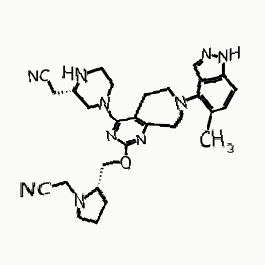 Cc1ccc2[nH]ncc2c1N1CCc2c(nc(OC[C@@H]3CCCN3CC#N)nc2N2CCN[C@@H](CC#N)C2)C1